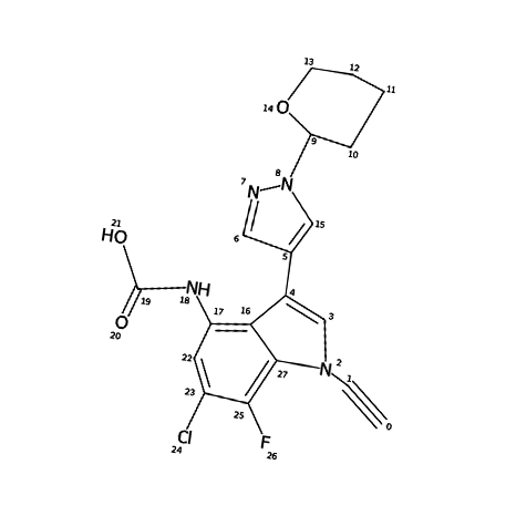 C#Cn1cc(-c2cnn(C3CCCCO3)c2)c2c(NC(=O)O)cc(Cl)c(F)c21